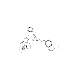 CC(=O)[C@H](CCN(CCCCC1=C(\C)CCC2=C(/C=C\1)CCCN2)CCOc1ccccc1)Nc1ccnc(C(F)(F)F)[n+]1O